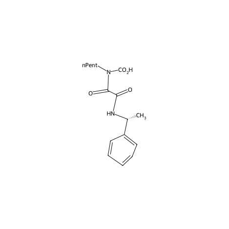 CCCCCN(C(=O)O)C(=O)C(=O)N[C@H](C)c1ccccc1